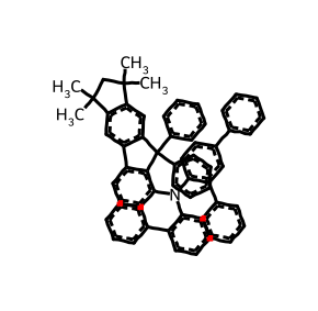 CC1(C)CC(C)(C)c2cc3c(cc21)-c1cccc(N(c2ccccc2-c2ccccc2)c2ccc(-c4ccccc4)cc2-c2ccccc2)c1C3(c1ccccc1)c1ccccc1